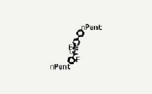 CCCCCc1ccc(C(C)OC(F)(F)c2ccc(C3CCC(CCCCC)CC3)cc2)c(F)c1